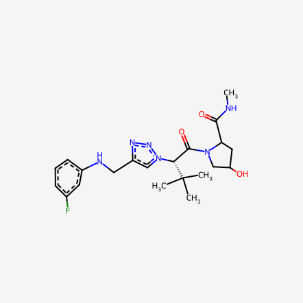 CNC(=O)C1CC(O)CN1C(=O)[C@@H](n1cc(CNc2cccc(F)c2)nn1)C(C)(C)C